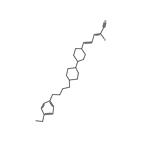 CCc1ccc(CCCCC2CCC(C3CCC(C=CC=C(F)C#N)CC3)CC2)cc1